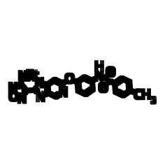 CCn1c(-c2nonc2N)nc2cnc(Oc3cccc(NS(=O)(=O)c4ccc(C)cc4)c3)cc21